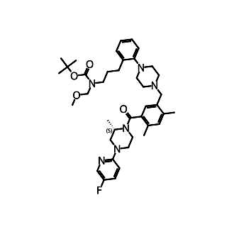 COCN(CCCc1ccccc1N1CCN(Cc2cc(C(=O)N3CCN(c4ccc(F)cn4)C[C@@H]3C)c(C)cc2C)CC1)C(=O)OC(C)(C)C